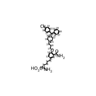 NC(=O)c1cc(CCCCN(N)C(=O)O)ccc1OCCCN1CCN([C@H](c2ccccc2)c2ccc(Cl)cc2)CC1